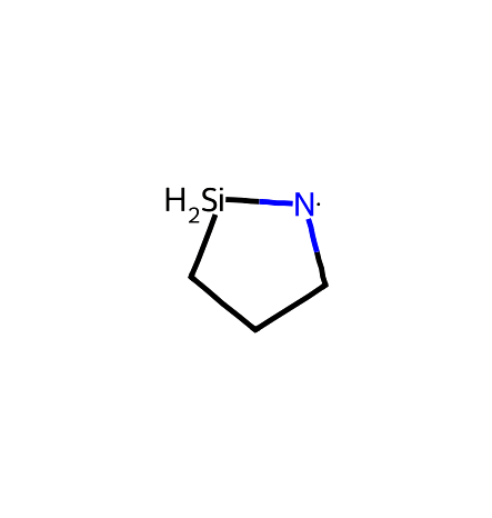 C1C[N][SiH2]C1